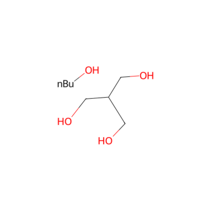 CCCCO.OCC(CO)CO